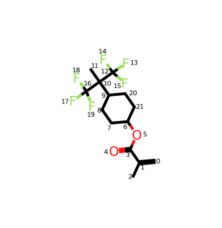 C=C(C)C(=O)OC1CCC(C(C)(C(F)(F)F)C(F)(F)F)CC1